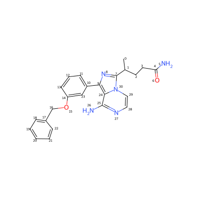 CC(CCC(N)=O)c1nc(-c2cccc(OCc3ccccc3)c2)c2c(N)nccn12